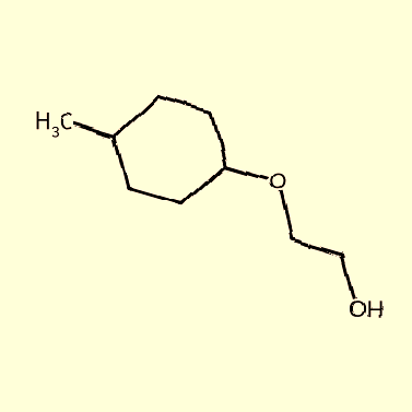 CC1CCC(OCCO)CC1